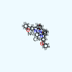 N#Cc1cc(C#N)c(-n2c3ccccc3c3cc4c(cc32)oc2ccccc24)c(-n2c3ccccc3c3ccccc32)c1-n1c2ccccc2c2cc3c(cc21)oc1ccccc13